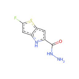 NNC(=O)c1cc2sc(F)cc2[nH]1